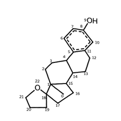 CC12CCC3c4ccc(O)cc4CCC3C1CCC21CCCO1